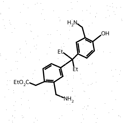 CCOC(=O)Cc1ccc(C(CC)(CC)c2ccc(O)c(CN)c2)cc1CN